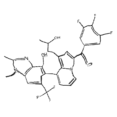 Cc1nc2c(O)c(-c3cccn4c(C(=O)c5cc(F)c(F)c(F)c5)cc(CC(C)O)c34)c(C(F)(F)F)cc2n1C